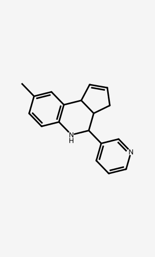 Cc1ccc2c(c1)C1C=CCC1C(c1cccnc1)N2